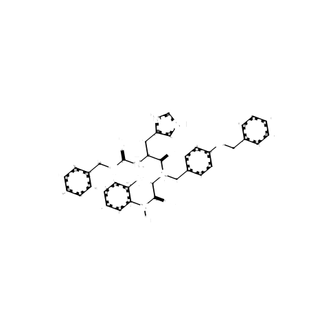 CCN(C(=O)CN(Cc1ccc(OCc2ccccc2)cc1)C(=O)C(Cc1c[nH]cn1)NC(=O)OCc1ccccc1)c1ccccc1Br